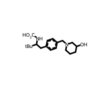 CC(C)(C)C(Cc1ccc(CN2CCCC(O)C2)cc1)NC(=O)O